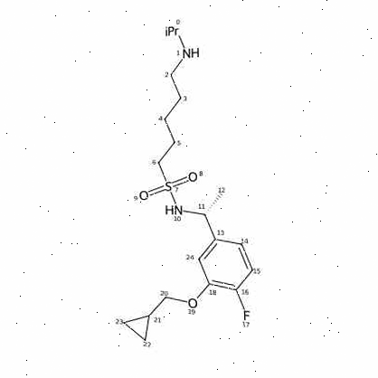 CC(C)NCCCCCS(=O)(=O)N[C@H](C)c1ccc(F)c(OCC2CC2)c1